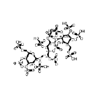 O=[SH](=O)O[C@@H]1[C@@H](OS(=O)(=O)O)[C@H](OC[C@@H](O[SH](=O)=O)[C@@H](OS(=O)(=O)O)[C@H](OS(=O)(=O)O)[C@@H](CO[C@@H]2C[C@H](COS(=O)(=O)O)[C@@H](OS(=O)(=O)O)[C@H](OS(=O)(=O)O)[C@H]2OS(=O)(=O)O)OS(=O)(=O)O)O[C@H](COS(=O)(=O)O)[C@H]1O[SH](=O)=O